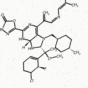 C=C(/C=N\C=C(/C)Cl)C1=C2[C@@H](NC(c3n[nH]c(=O)o3)=N1)N[C@@H](C(C)(OC)C1=CCCC(Cl)[C@@H]1F)N2C[C@H]1CC[C@H](C)CC1